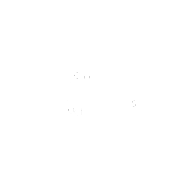 CCC1CCC(=O)C(c2c(Cl)cc(C#CS(C)(C)C)cc2OC)C1=O